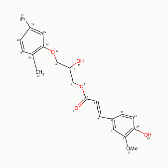 COc1cc(/C=C/C(=O)OCC(O)COc2cc(C(C)C)ccc2C)ccc1O